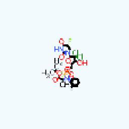 CC(C)OC(=O)[C@@H](C)N[P@@](=S)(OC[C@H]1O[C@@H](n2cc(F)c(=O)[nH]c2=O)C(Cl)(Cl)[C@@H]1O)Oc1ccccc1